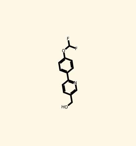 OCc1ccc(-c2ccc(OC(F)F)cc2)nc1